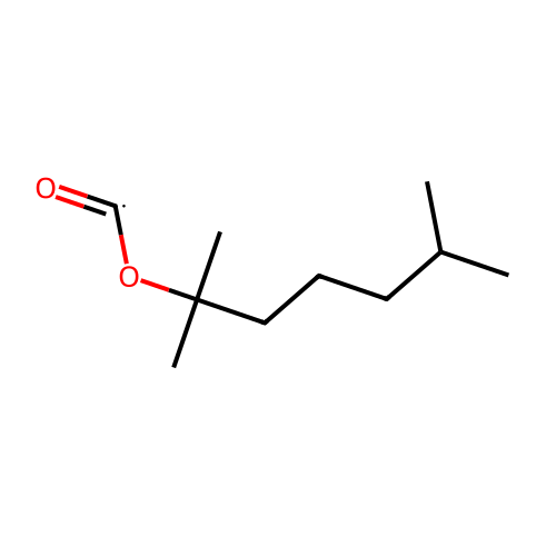 CC(C)CCCC(C)(C)O[C]=O